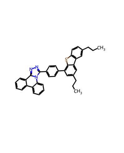 CCCc1ccc2sc3c(-c4ccc(-c5nnc6c7ccccc7c7ccccc7n56)cc4)cc(CCC)cc3c2c1